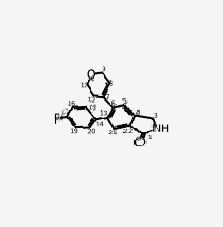 O=C1NCc2cc(C3=CCOCC3)c(-c3ccc(F)cc3)cc21